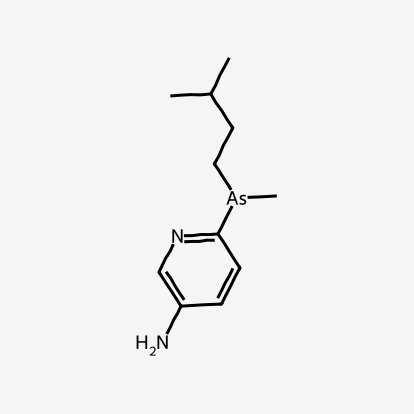 CC(C)CC[As](C)c1ccc(N)cn1